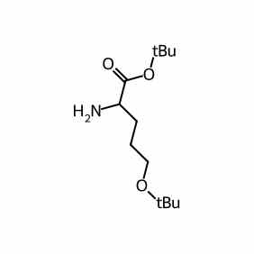 CC(C)(C)OCCCC(N)C(=O)OC(C)(C)C